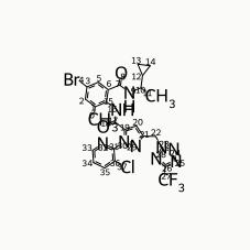 Cc1cc(Br)cc(C(=O)NC(C)C2CC2)c1NC(=O)c1cc(Cn2nnc(C(F)(F)F)n2)nn1-c1ncccc1Cl